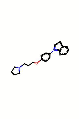 c1ccc2c(c1)ccn2-c1ccc(OCCCN2CCCC2)cc1